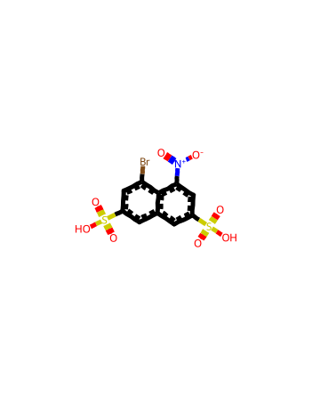 O=[N+]([O-])c1cc(S(=O)(=O)O)cc2cc(S(=O)(=O)O)cc(Br)c12